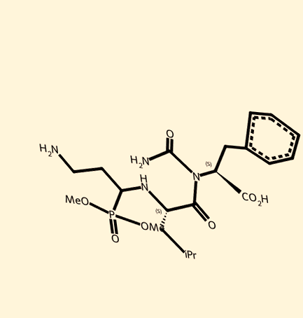 COP(=O)(OC)C(CCN)N[C@@H](CC(C)C)C(=O)N(C(N)=O)[C@@H](Cc1ccccc1)C(=O)O